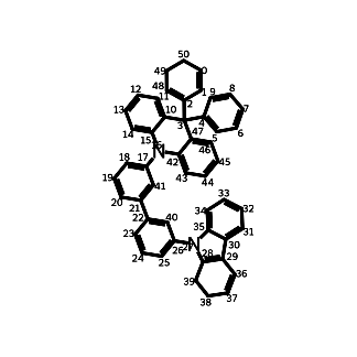 C1=CC(C2(c3ccccc3)c3ccccc3N(c3cccc(-c4cccc(-n5c6c(c7ccccc75)C=CCC6)c4)c3)c3ccccc32)=CCC1